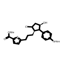 CCCCCCc1ccc(C2[C@@H](CCCc3ccc(C(=O)OC)s3)C(Cl)C[C@H]2O)cc1